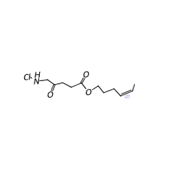 C/C=C\CCCOC(=O)CCC(=O)CNCl